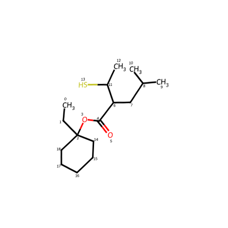 CCC1(OC(=O)C(CC(C)C)C(C)S)CCCCC1